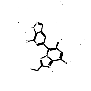 CCc1nc2c(C)cc(C)c(-c3cc(Cl)c4[nH]ncc4c3)n2n1